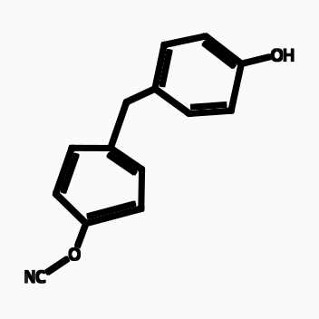 N#COc1ccc(Cc2ccc(O)cc2)cc1